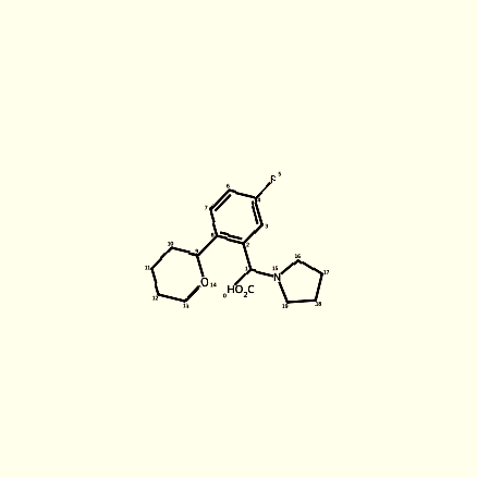 O=C(O)C(c1cc(F)ccc1C1CCCCO1)N1CCCC1